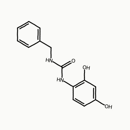 O=C(NCc1ccccc1)Nc1ccc(O)cc1O